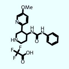 COc1ccc(C2CNCCC2NC(=O)Nc2ccccc2)nc1.O=C(O)C(F)(F)F